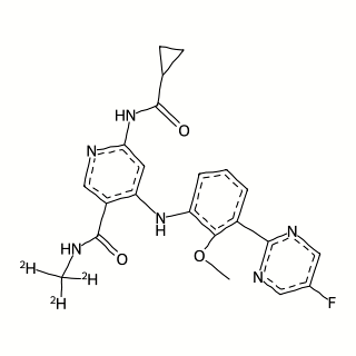 [2H]C([2H])([2H])NC(=O)c1cnc(NC(=O)C2CC2)cc1Nc1cccc(-c2ncc(F)cn2)c1OC